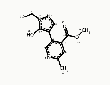 [2H]Cn1ncc(-c2cnc(C)cc2C(=O)OC)c1O